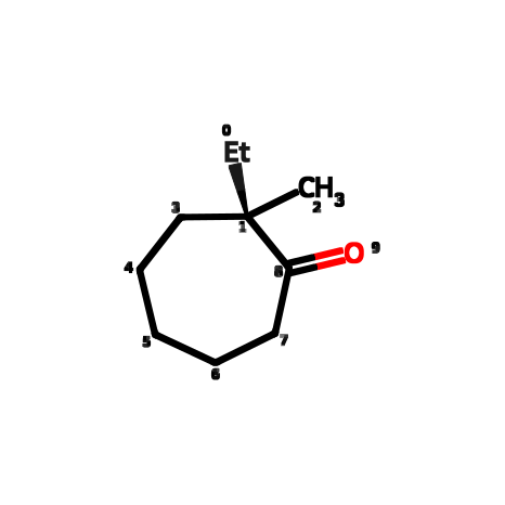 CC[C@]1(C)CCCCCC1=O